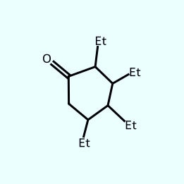 CCC1CC(=O)C(CC)C(CC)C1CC